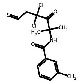 Cc1cccc(C(=O)NC(C)(C)C(=O)C(Cl)(Cl)CC=S)c1